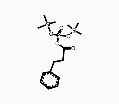 C[Si](C)(C)OP(=O)(OC(=O)CCc1ccccc1)O[Si](C)(C)C